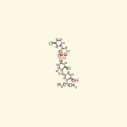 CC(C)c1cc(C2CCc3cc(OCP4(=O)OCC[C@@H](c5cccc(Cl)c5)O4)cc(Cl)c32)ccc1O